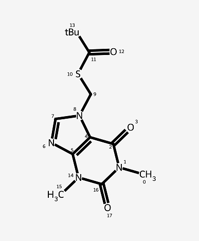 Cn1c(=O)c2c(ncn2CSC(=O)C(C)(C)C)n(C)c1=O